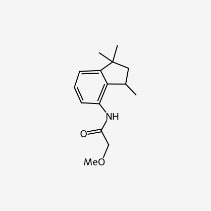 COCC(=O)Nc1cccc2c1C(C)CC2(C)C